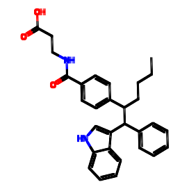 CCCCC(c1ccc(C(=O)NCCC(=O)O)cc1)C(c1ccccc1)c1c[nH]c2ccccc12